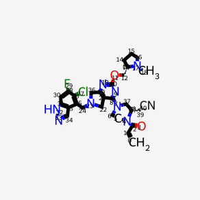 C=CC(=O)N1CCN(c2nc(OC[C@@H]3CCCN3C)nc3c2CN(Cc2c(Cl)c(F)cc4[nH]ncc24)C3)C[C@@H]1CC#N